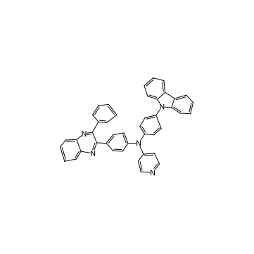 c1ccc(-c2nc3ccccc3nc2-c2ccc(N(c3ccncc3)c3ccc(-n4c5ccccc5c5ccccc54)cc3)cc2)cc1